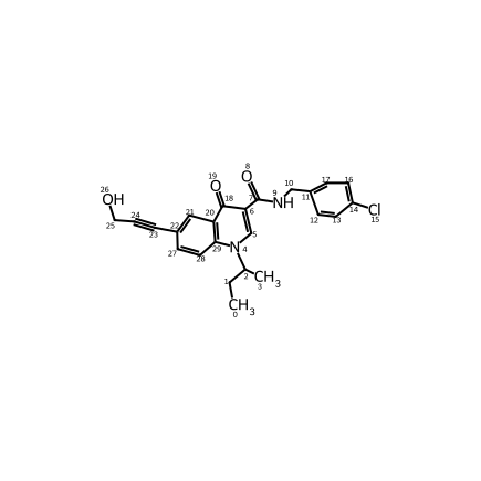 CCC(C)n1cc(C(=O)NCc2ccc(Cl)cc2)c(=O)c2cc(C#CCO)ccc21